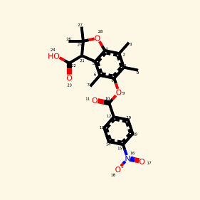 Cc1c(C)c2c(c(C)c1OC(=O)c1ccc([N+](=O)[O-])cc1)C(C(=O)O)C(C)(C)O2